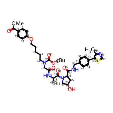 COC(=O)c1ccc(OCCCCCN(CC(=O)NC(C(=O)N2C[C@H](O)CC2C(=O)NCc2ccc(-c3scnc3C)cc2)C(C)(C)C)C(=O)OC(C)(C)C)cc1